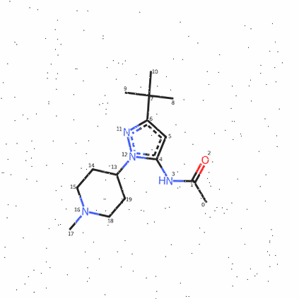 CC(=O)Nc1cc(C(C)(C)C)nn1C1CCN(C)CC1